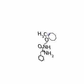 C/C1=C/CCCCCC1OCCNC(=O)[C@@H](N)Cc1ccccc1